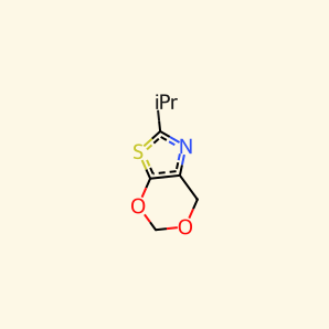 CC(C)c1nc2c(s1)OCOC2